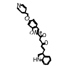 COc1cc(OCc2ccncc2)ccc1C=CC(=O)CC(=O)C=Cc1c[nH]c2ccccc12